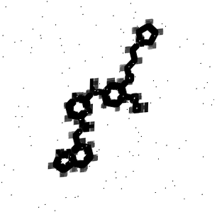 OOc1ccc(Nc2nccc(NCc3cccc4ccnn34)n2)cc1OCCCN1CCCC1